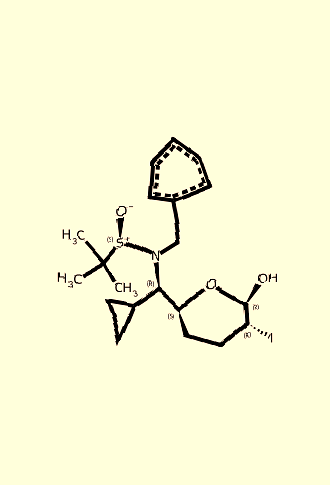 CC(C)(C)[S@@+]([O-])N(Cc1ccccc1)[C@H](C1CC1)[C@@H]1CC[C@@H](I)[C@H](O)O1